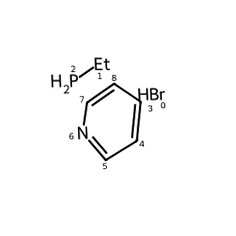 Br.CCP.c1ccncc1